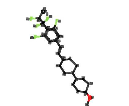 COCOC1CCC(C2CCC(/C=C/c3cc(F)c(C(F)(F)C(F)C(F)(F)F)c(F)c3)CC2)CC1